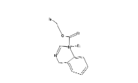 CC[N+]1(C(=O)OCBr)C=NCc2ccccc21